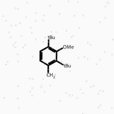 [CH2]c1ccc(C(C)(C)C)c(OC)c1C(C)(C)C